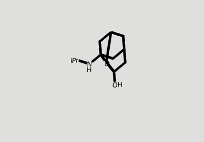 CC(C)NC12CC3CC(CC(O)(C3)O1)C2